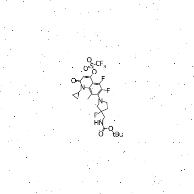 Cc1c(N2CCC(F)(CNC(=O)OC(C)(C)C)C2)c(F)c(F)c2c(OS(=O)(=O)C(F)(F)F)cc(=O)n(C3CC3)c12